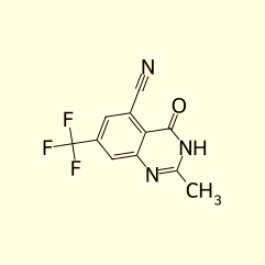 Cc1nc2cc(C(F)(F)F)cc(C#N)c2c(=O)[nH]1